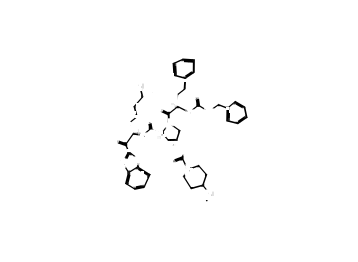 CNC1CCN(C(=O)O[C@@H]2C[C@@H](C(=O)N[C@@H](CCCCN)C(=O)c3nc4ccccc4o3)N(C(=O)[C@@H](CCc3ccccc3)NC(=O)OCc3ccccc3)C2)CC1